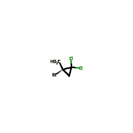 CC[C@@]1(C(=O)O)CC1(Cl)Cl